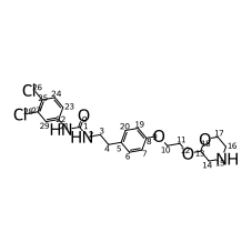 O=C(NCCc1ccc(OCCOC2CNCCO2)cc1)Nc1ccc(Cl)c(Cl)c1